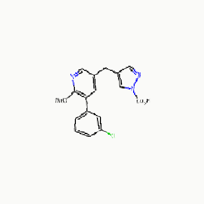 COc1ncc(Cc2cnn(C(=O)O)c2)cc1-c1cccc(Cl)c1